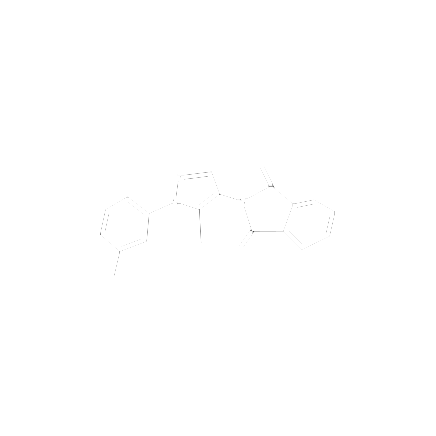 Cc1cccc(-n2ncc(N3C(=O)c4ccccc4C3=O)c2C)c1